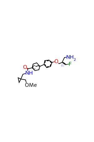 COCC1(CNC(=O)C23CCC(c4ccc(OC/C(=C/F)CN)cc4)(CC2)CC3)CC1